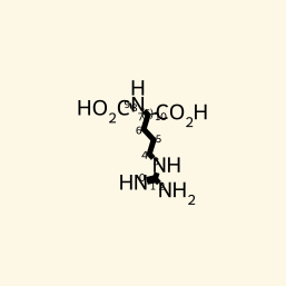 N=C(N)NCCC[C@H](NC(=O)O)C(=O)O